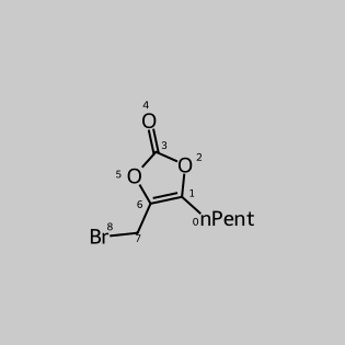 CCCCCc1oc(=O)oc1CBr